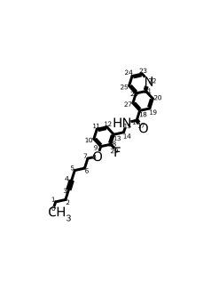 CCCC#CCCCOc1cccc(CNC(=O)c2ccc3ncccc3c2)c1F